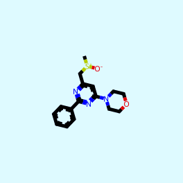 C[S+]([O-])Cc1cc(N2CCOCC2)nc(-c2ccccc2)n1